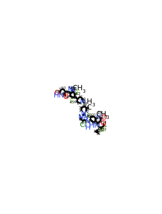 C[C@@H]1CN(c2ncc(Cl)c(Nc3cc4c5c(c(=O)n(C)c4cc3F)OCC(F)(F)[C@H](C3CC3)N5)n2)CC[C@@H]1CN1CCC(c2c(F)cc3c(C4CCC(=O)NC4=O)nn(C)c3c2F)CC1